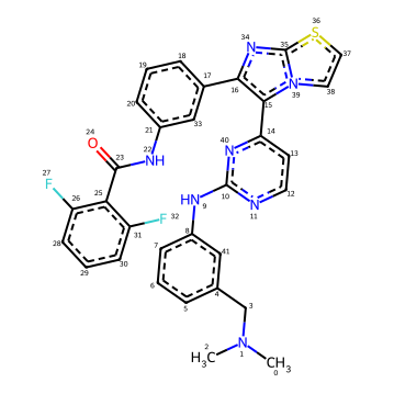 CN(C)Cc1cccc(Nc2nccc(-c3c(-c4cccc(NC(=O)c5c(F)cccc5F)c4)nc4sccn34)n2)c1